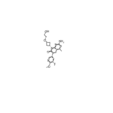 COc1ncc(-c2cc3c(C)nc(N)nc3n([C@H]3C[C@H](OCCO)C3)c2=O)cc1F